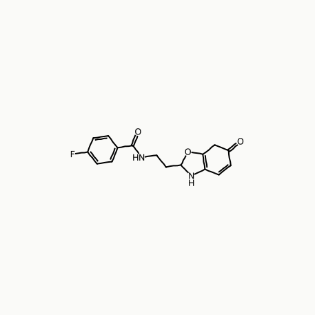 O=C1C=CC2=C(C1)OC(CCNC(=O)c1ccc(F)cc1)N2